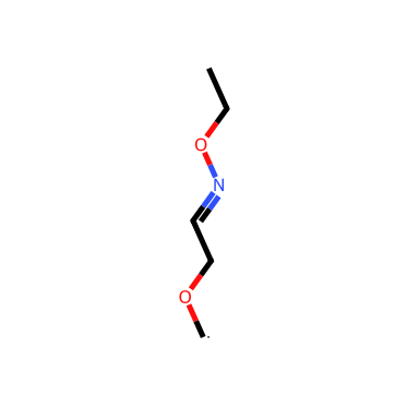 [CH2]OCC=NOCC